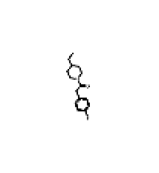 CCC1CCN(C(=O)Cc2ccc(F)cc2)CC1